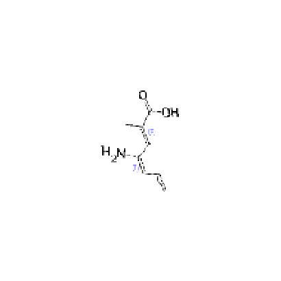 C=C/C=C(N)\C=C(/C)C(=O)O